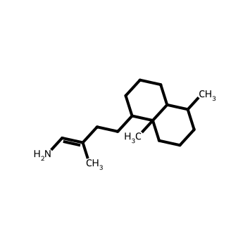 C/C(=C\N)CCC1CCCC2C(C)CCCC12C